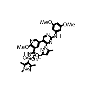 COc1cc(Nc2ncc(-c3cnc(OC)c(C(=O)NS(=O)(=O)c4c(C)nn(C)c4C)c3)c(-n3nc(C(F)(F)F)cc3C)n2)cc(OC)c1